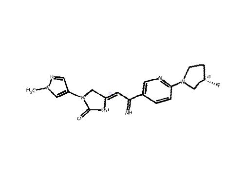 Cn1cc(N2C/C(=C/C(=N)c3ccc(N4CC[C@H](F)C4)nc3)NC2=O)cn1